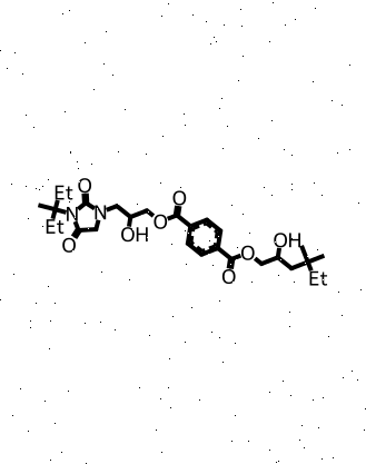 CCC(C)(C)CC(O)COC(=O)c1ccc(C(=O)OCC(O)CN2CC(=O)N(C(C)(CC)CC)C2=O)cc1